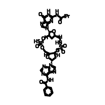 CC(C)C(=O)Nc1nc2c(ncn2[C@@H]2O[C@@H]3CNS(=O)(=O)O[C@H]4C[C@H](n5cnc6c(NC(=O)c7ccccc7)ncnc65)O[C@@H]4CO[P@](=O)(S)O[C@@H]2C3)c(=O)[nH]1